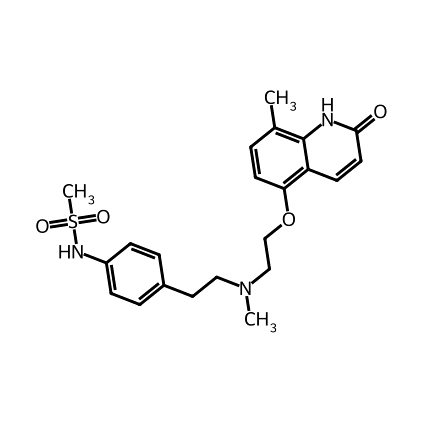 Cc1ccc(OCCN(C)CCc2ccc(NS(C)(=O)=O)cc2)c2ccc(=O)[nH]c12